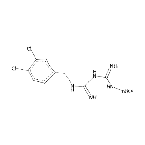 CCCCCCNC(=N)NC(=N)NCc1ccc(Cl)c(Cl)c1